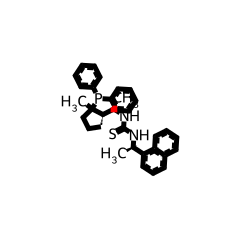 C[C@@H](NC(=S)N[C@H](C)[C@@H]1CCCC1(C)P(c1ccccc1)c1ccccc1)c1cccc2ccccc12